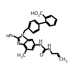 C=CCNC(=O)Nc1cc(C)c2nc(CCC)n(Cc3ccc(-c4ccccc4C(=O)O)cc3)c2c1